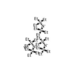 CC[Si](CC)(CC)[N-][Si](CC)(CC)CC.CC[Si](CC)(CC)[N-][Si](CC)(CC)CC.CC[Si](CC)(CC)[N-][Si](CC)(CC)CC.[Y+3]